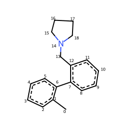 Cc1ccccc1-c1ccccc1CN1CCCC1